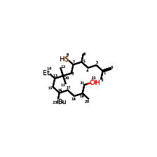 C=C(C)CCC(C)C(S)CC(C)(C)C(CC)CC(CCC(C)CO)C(C)CC